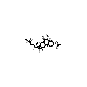 CC[C@H]1C(=O)C2C(C[C@@]3(C)C4[C@@]25CC[C@]4([C@H](C)CCC(=O)OC)[C@@]53C)[C@@]2(C)CC[C@@H](OC(C)=O)C[C@@H]12